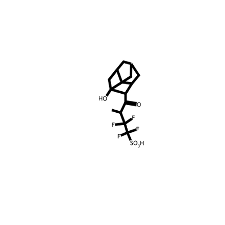 CC(C(=O)C1C2CC3CC(C2)CC1(O)C3)C(F)(F)C(F)(F)S(=O)(=O)O